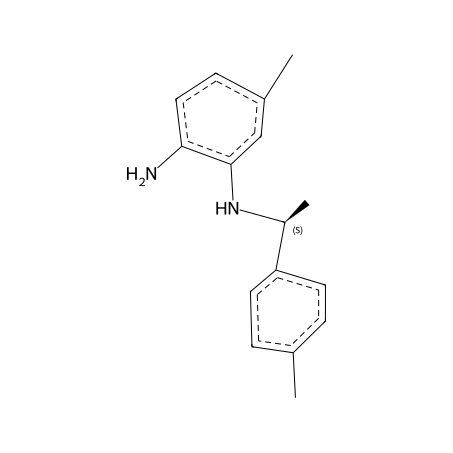 Cc1ccc([C@H](C)Nc2cc(C)ccc2N)cc1